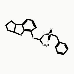 O=C(O)C(NS(=O)(=O)Cc1ccccc1)Oc1cccc2c1OC1CCCC21